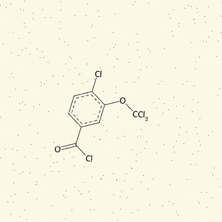 O=C(Cl)c1ccc(Cl)c(OC(Cl)(Cl)Cl)c1